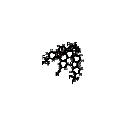 N#Cc1cc(-n2c3cc(C(F)(F)F)ccc3c3ccc(C(F)(F)F)cc32)c(-c2ccc(C(F)(F)F)cc2C(F)(F)F)c(-n2c3cc(C(F)(F)F)ccc3c3ccc(C(F)(F)F)cc32)c1